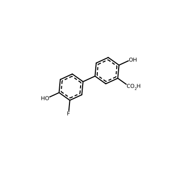 O=C(O)c1cc(-c2ccc(O)c(F)c2)ccc1O